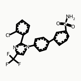 NS(=O)(=O)c1cccc(-c2ccc(-n3cc(C(F)(F)F)nc3-c3ccccc3Cl)cc2)c1